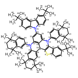 CC(C)(C)c1ccc2sc3c(c2c1)N(c1ccc2c(c1)C(C)(C)CCC2(C)C)c1cc(-n2c4ccc(C(C)(C)C)cc4c4cc(C(C)(C)C)ccc42)cc2c1B3c1cc3c(cc1N2c1ccc2c(c1)C(C)(C)CCC2(C)C)C(C)(C)CCC3(C)C